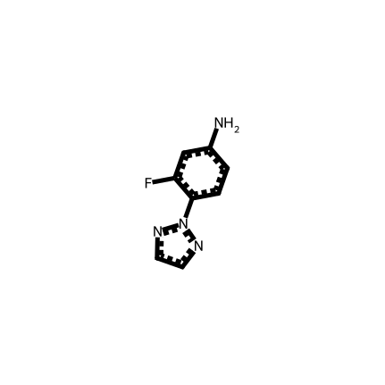 Nc1ccc(-n2nccn2)c(F)c1